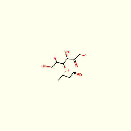 CCCC=O.O=C(CO)[C@H](O)[C@@H](O)[C@H](O)CO